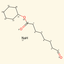 O=CCCCCCCC(=O)OC1CCCCC1.[NaH]